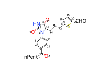 CCCCCC(=O)c1ccc(N2C(=O)NC(=O)C2CCCc2ccc(C=O)s2)cc1